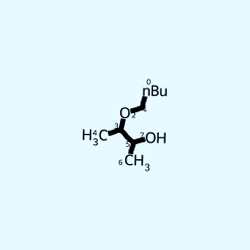 CCCCCOC(C)C(C)O